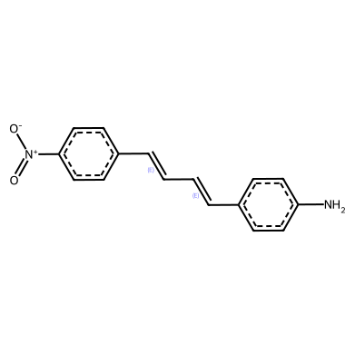 Nc1ccc(/C=C/C=C/c2ccc([N+](=O)[O-])cc2)cc1